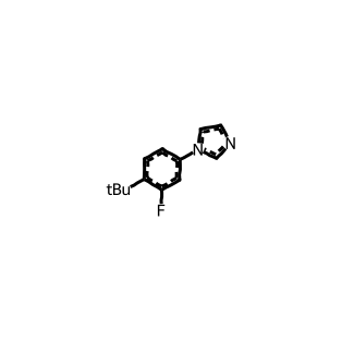 CC(C)(C)c1ccc(-n2ccnc2)cc1F